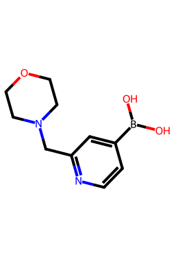 OB(O)c1ccnc(CN2CCOCC2)c1